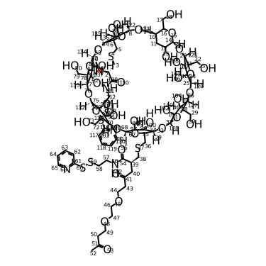 CN[C@H](CSCC1O[C@H]2O[C@H]3CC(O)[C@H](OC3CO)O[C@@H]3C(CO)O[C@H](O[C@@H]4C(CO)O[C@H](O[C@@H]5C(CSC[C@@H](CC(=O)CCOCCOCCC(C)=O)C(=O)NCCSSc6ccccn6)O[C@H](O[C@@H]6C(CO)O[C@@H](O[C@@H]7C(CO)O[C@@H](O[C@H]1[C@H](O)C2O)C(O)[C@H]7O)C(O)[C@H]6O)C(O)[C@H]5O)C(O)[C@H]4O)C(O)[C@H]3O)C(=O)NCCSSc1ccccn1